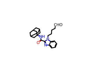 O=CCCCCn1c(C(=O)NC23CC4CC(CC(C4)C2)C3)nc2ccccc21